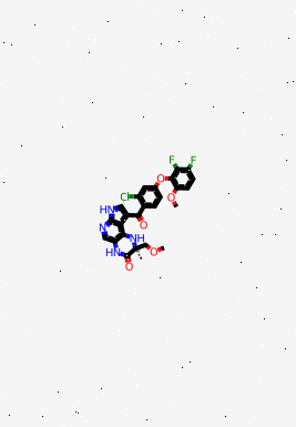 COC[C@]1(C)Nc2c(cnc3[nH]cc(C(=O)c4ccc(Oc5c(OC)ccc(F)c5F)cc4Cl)c23)NC1=O